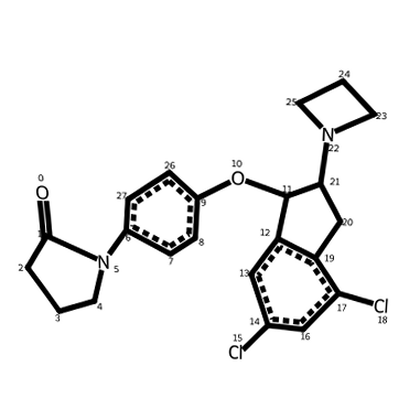 O=C1CCCN1c1ccc(OC2c3cc(Cl)cc(Cl)c3CC2N2CCC2)cc1